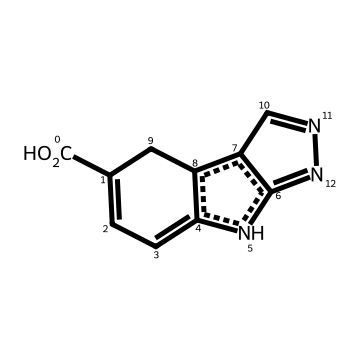 O=C(O)C1=CC=c2[nH]c3c(c2C1)C=NN=3